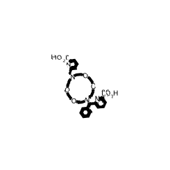 O=C(O)c1cccc(CN2CCOCCOCCN(C(c3ccccc3)c3cccc(C(=O)O)n3)CCOCCOCC2)n1